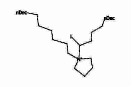 CCCCCCCCCCCCCCCC[N+]1(C(I)CCCCCCCCCCCCC)CCCC1